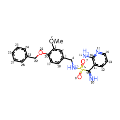 COc1cc(CNS(=O)(=O)C(=N)c2cccnc2N)ccc1OCc1ccccc1